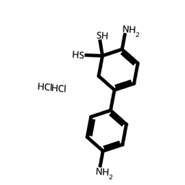 Cl.Cl.NC1=CC=C(c2ccc(N)cc2)CC1(S)S